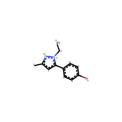 Cc1cc(-c2ccc(Br)cc2)n(CC(C)C)n1